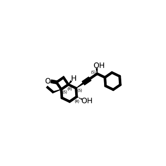 CC[C@]12CC[C@@H](O)[C@H](C#C[C@@H](O)C3CCCCC3)[C@H]1CC2=O